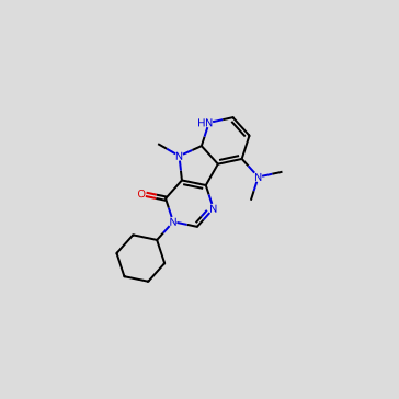 CN(C)C1=C2c3ncn(C4CCCCC4)c(=O)c3N(C)C2NC=C1